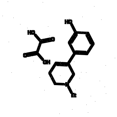 CCN1CCC=C(c2cccc(O)c2)C1.O=C(O)C(=O)O